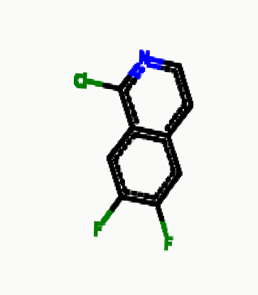 Fc1cc2ccnc(Cl)c2cc1F